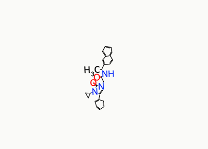 CC(NC(=O)Cn1cc(-c2ccccc2)n(C2CC2)c1=O)c1ccc2ccccc2c1